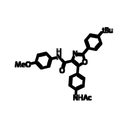 COc1ccc(NC(=O)c2nc(-c3ccc(C(C)(C)C)cc3)oc2-c2ccc(NC(C)=O)cc2)cc1